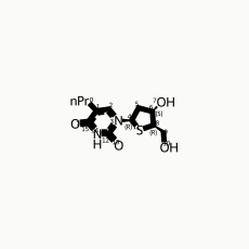 CCCc1cn([C@H]2C[C@H](O)[C@@H](CO)S2)c(=O)[nH]c1=O